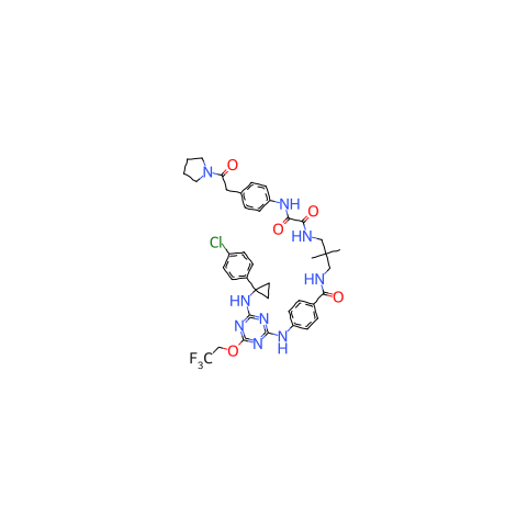 CC(C)(CNC(=O)C(=O)Nc1ccc(CC(=O)N2CCCC2)cc1)CNC(=O)c1ccc(Nc2nc(NC3(c4ccc(Cl)cc4)CC3)nc(OCC(F)(F)F)n2)cc1